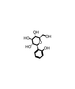 OC[C@H]1O[C@@H](c2ccccc2O)[C@H](O)[C@@H](O)[C@@H]1O